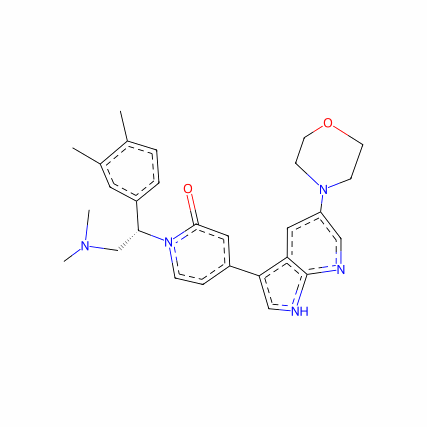 Cc1ccc([C@@H](CN(C)C)n2ccc(-c3c[nH]c4ncc(N5CCOCC5)cc34)cc2=O)cc1C